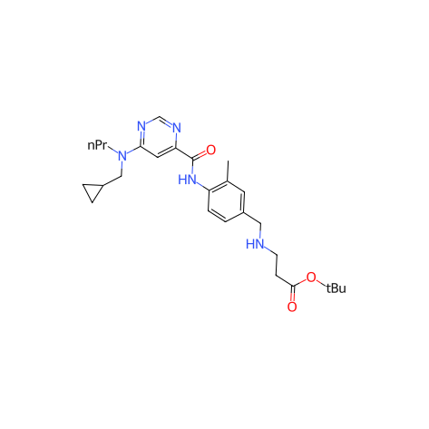 CCCN(CC1CC1)c1cc(C(=O)Nc2ccc(CNCCC(=O)OC(C)(C)C)cc2C)ncn1